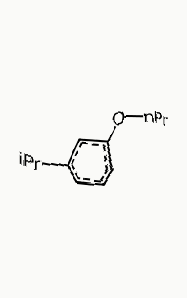 CCCOc1cccc(C(C)C)c1